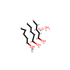 CCCCCO.CCCCCO.CCCCCO.O.O.[Zr]